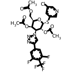 CC(=O)OC[C@H]1O[C@H](Sc2cncc(Cl)c2)[C@H](OC(C)=O)[C@@H](n2cc(-c3cc(F)c(C(F)(F)F)c(F)c3)nn2)[C@H]1OC(C)=O